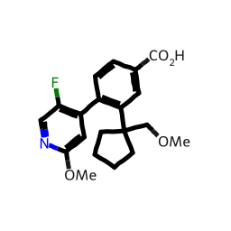 COCC1(c2cc(C(=O)O)ccc2-c2cc(OC)ncc2F)CCCC1